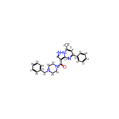 O=C(c1cnn2c(C(F)(F)F)cc(-c3ccccc3)nc12)N1CCN(Cc2ccccc2)CC1